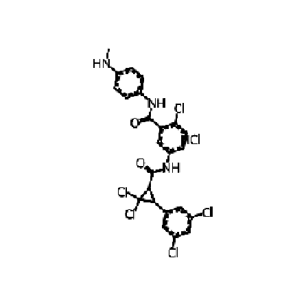 CNc1ccc(NC(=O)c2cc(NC(=O)C3C(c4cc(Cl)cc(Cl)c4)C3(Cl)Cl)ccc2Cl)cc1.Cl